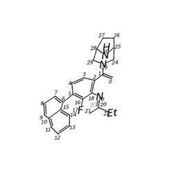 C=C(c1ccc(-c2cccc3ccccc23)c(F)c1/N=C(\C)CC)N1CC2CCC(C1)N2